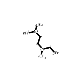 CCCCN(CCC)CCN(C)CC(C)C